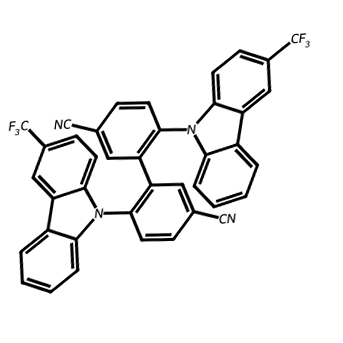 N#Cc1ccc(-n2c3ccccc3c3cc(C(F)(F)F)ccc32)c(-c2cc(C#N)ccc2-n2c3ccccc3c3cc(C(F)(F)F)ccc32)c1